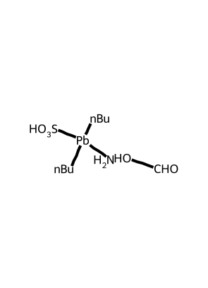 CCC[CH2][Pb]([NH2])([CH2]CCC)[S](=O)(=O)O.O=CO